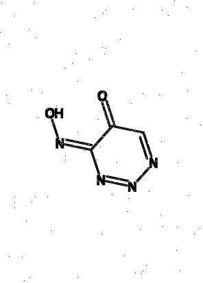 O=C1C=NN=NC1=NO